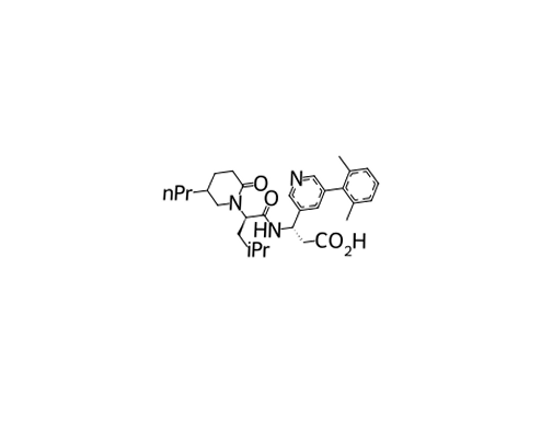 CCCC1CCC(=O)N([C@H](CC(C)C)C(=O)N[C@@H](CC(=O)O)c2cncc(-c3c(C)cccc3C)c2)C1